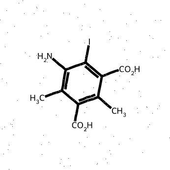 Cc1c(N)c(I)c(C(=O)O)c(C)c1C(=O)O